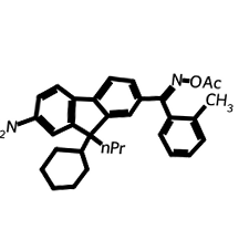 CCCC1(C2CCCCC2)c2cc(/C(=N/OC(C)=O)c3ccccc3C)ccc2-c2ccc([N+](=O)[O-])cc21